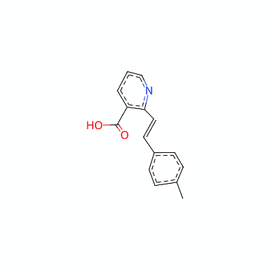 Cc1ccc(C=Cc2ncccc2C(=O)O)cc1